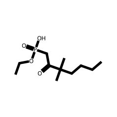 CCCCC(C)(C)C(=O)CP(=O)(O)OCC